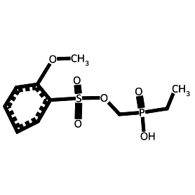 CCP(=O)(O)COS(=O)(=O)c1ccccc1OC